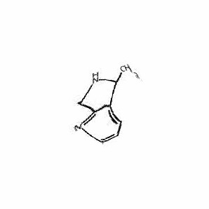 CC1NCc2n[c]ccc21